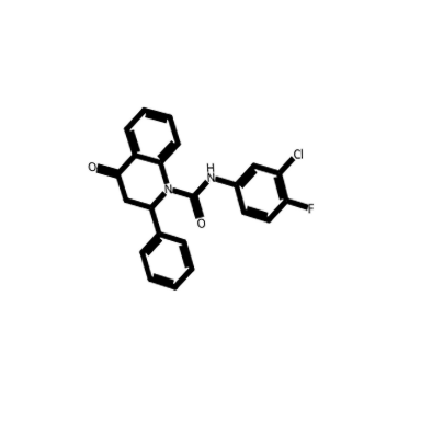 O=C1CC(c2ccccc2)N(C(=O)Nc2ccc(F)c(Cl)c2)c2ccccc21